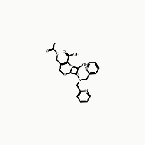 CC(=O)OCC1=C(C(=O)O)N2C(O)[C@@H](N(Cc3ccccn3)Cc3ccccn3)C2SC1